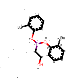 CCC(C)c1ccccc1OP(CCO)Oc1ccccc1C(C)CC